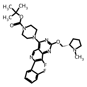 CN1CCC[C@H]1COc1nc(N2CCN(C(=O)OC(C)(C)C)CC2)c2cnc(-c3ccccc3F)c(F)c2n1